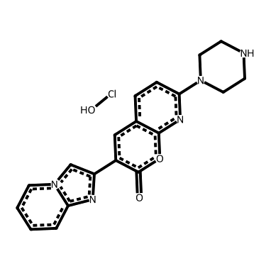 O=c1oc2nc(N3CCNCC3)ccc2cc1-c1cn2ccccc2n1.OCl